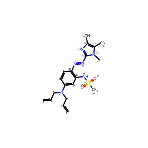 C=CCN(CC=C)c1ccc(N=Nc2nc(C#N)c(C#N)n2C)c(NS(=O)(=O)C(F)(F)F)c1